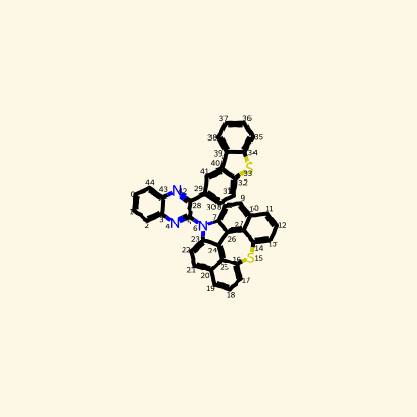 c1ccc2nc(-n3c4ccc5cccc6sc7cccc8ccc3c(c87)c4c56)c(-c3ccc4sc5ccccc5c4c3)nc2c1